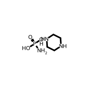 C1CNCCN1.NP(=O)(O)O